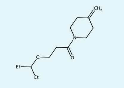 C=C1CCN(C(=O)CCOC(CC)CC)CC1